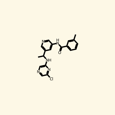 Cc1cccc(C(=O)Nc2cncc(C(C)Nc3cncc(Cl)n3)c2)c1